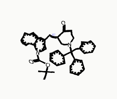 CC(C)(C)OC(=O)n1cc(/C=C2\CN(C(c3ccccc3)(c3ccccc3)c3ccccc3)CCC2=O)c2ccccc21